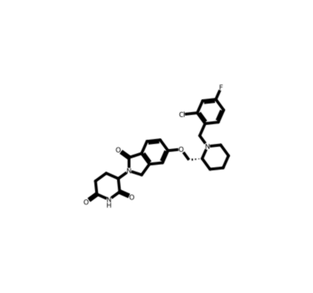 O=C1CCC(N2Cc3cc(OC[C@H]4CCCCN4Cc4ccc(F)cc4Cl)ccc3C2=O)C(=O)N1